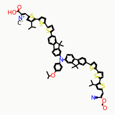 [C-]#[N+]/C(=C\c1cc(C(C)C)c(-c2ccc(-c3ccc(-c4ccc5c(c4)C(C)(C)c4cc(N(c6ccc(OC(C)C)cc6)c6ccc7c(c6)C(C)(C)c6cc(-c8ccc(-c9ccc(-c%10sc(/C=C(\C#N)OC=O)cc%10C(C)C)s9)s8)ccc6-7)ccc4-5)s3)s2)s1)C(=O)O